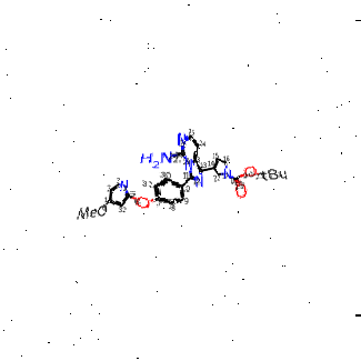 COc1ccnc(Oc2ccc(-c3nc(C4=CCN(C(=O)OC(C)(C)C)C4)c4ccnc(N)n34)cc2)c1